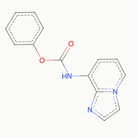 O=C(Nc1cccn2ccnc12)Oc1ccccc1